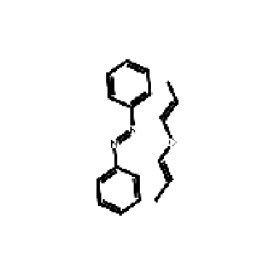 CC=COC=CC.c1ccc(N=Nc2ccccc2)cc1